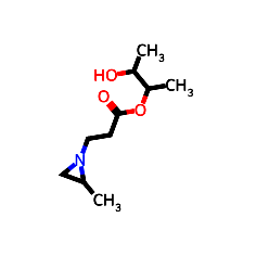 CC(O)C(C)OC(=O)CCN1CC1C